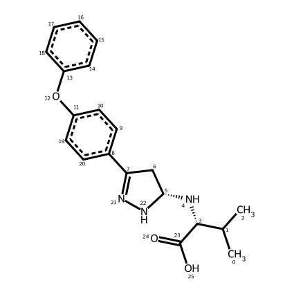 CC(C)[C@@H](N[C@H]1CC(c2ccc(Oc3ccccc3)cc2)=NN1)C(=O)O